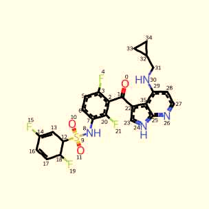 O=C(c1c(F)ccc(NS(=O)(=O)C2C=C(F)C=CC2F)c1F)c1c[nH]c2nccc(NCC3CC3)c12